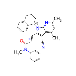 Cc1cc(C)c2c(C#N)c(/C=C/C(=O)N(C)c3ccccc3)n([C@H]3CCCc4ccccc43)c2n1